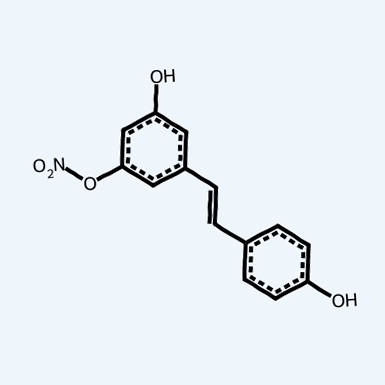 O=[N+]([O-])Oc1cc(O)cc(C=Cc2ccc(O)cc2)c1